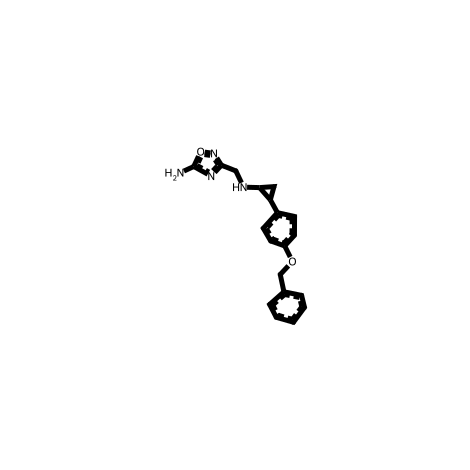 Nc1nc(CNC2CC2c2ccc(OCc3ccccc3)cc2)no1